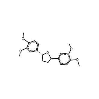 COc1ccc([C@H]2CC[C@H](c3ccc(OC)c(OC)c3)S2)cc1OC